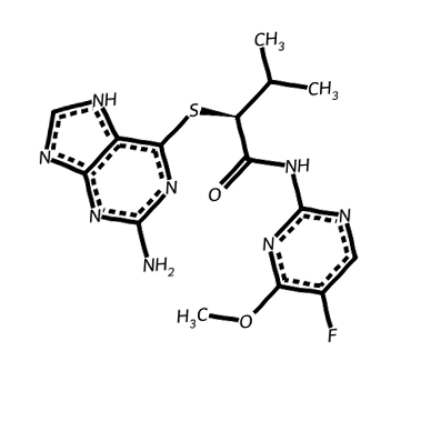 COc1nc(NC(=O)[C@@H](Sc2nc(N)nc3nc[nH]c23)C(C)C)ncc1F